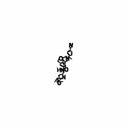 CC[S+]([O-])c1ccc(CNC(=O)c2cc3c(s2)C2(CCN(C(C)c4ccc(C#N)cc4)CC2)OCC3)nc1